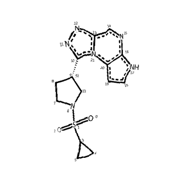 O=S(=O)(C1CC1)N1CC[C@H](c2nnc3cnc4[nH]ccc4n23)C1